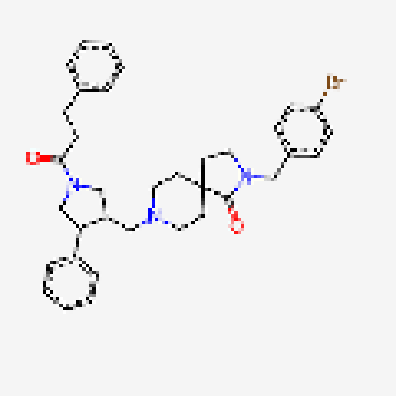 O=C(CCc1ccccc1)N1CC(CN2CCC3(CC2)CCN(Cc2ccc(Br)cc2)C3=O)C(c2ccccc2)C1